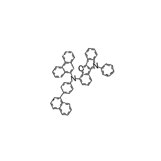 c1ccc(-n2c3ccccc3c3oc4c(N(c5ccc(-c6cccc7ccccc67)cc5)c5cc6ccccc6c6ccccc56)cccc4c32)cc1